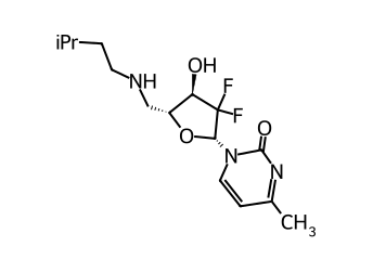 Cc1ccn([C@@H]2O[C@H](CNCCC(C)C)[C@@H](O)C2(F)F)c(=O)n1